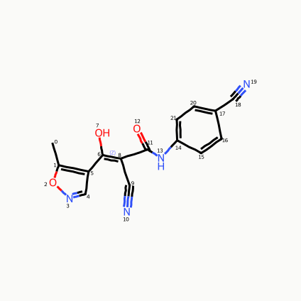 Cc1oncc1/C(O)=C(\C#N)C(=O)Nc1ccc(C#N)cc1